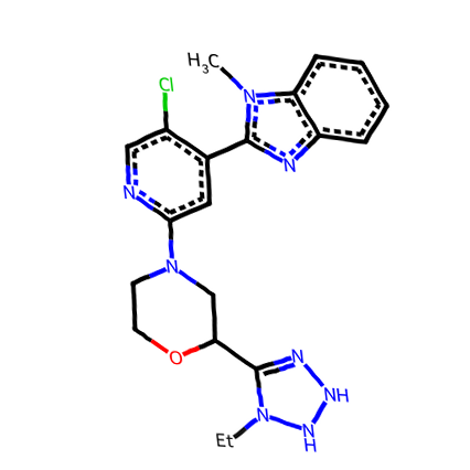 CCN1NNN=C1C1CN(c2cc(-c3nc4ccccc4n3C)c(Cl)cn2)CCO1